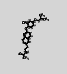 CC(=O)NCCc1ccc2nc(Oc3ccc(OCC(C)C)cc3Cl)ccc2c1